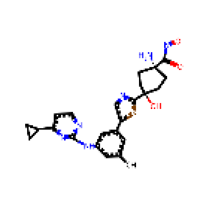 Cc1cc(Nc2nccc(C3CC3)n2)cc(-c2cnc([C@]3(O)CC[C@@](N)(C(=O)N=O)CC3)s2)c1